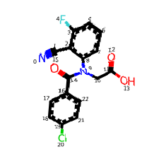 N#Cc1c(F)cccc1N(CC(=O)O)C(=O)c1ccc(Cl)cc1